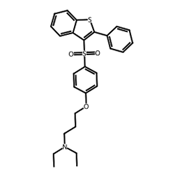 CCN(CC)CCCOc1ccc(S(=O)(=O)c2c(-c3ccccc3)sc3ccccc23)cc1